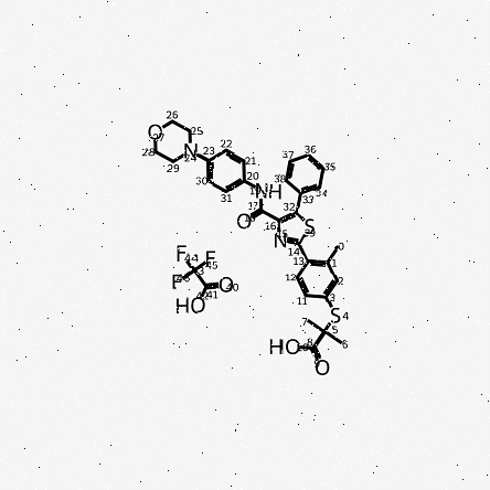 Cc1cc(SC(C)(C)C(=O)O)ccc1-c1nc(C(=O)Nc2ccc(N3CCOCC3)cc2)c(-c2ccccc2)s1.O=C(O)C(F)(F)F